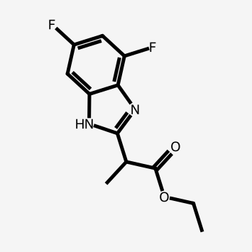 CCOC(=O)C(C)c1nc2c(F)cc(F)cc2[nH]1